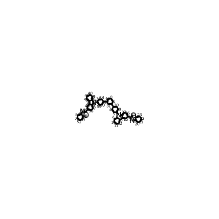 c1cc(-c2ccc(-n3c4ccccc4c4cc(-c5nc6ccccc6o5)ccc43)cc2)cc(-c2ccc(-n3c4ccccc4c4cc(-c5nc6ccccc6o5)ccc43)cc2)c1